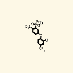 CCOP(=O)(c1cc(Oc2ccc(C(F)(F)F)cc2Cl)ccc1[N+](=O)[O-])C(C)C